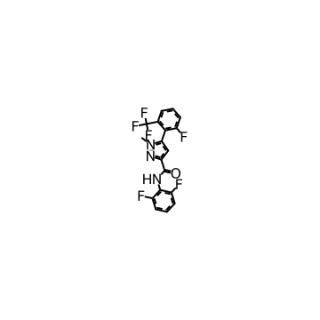 Cn1nc(C(=O)Nc2c(F)cccc2F)cc1-c1c(F)cccc1C(F)(F)F